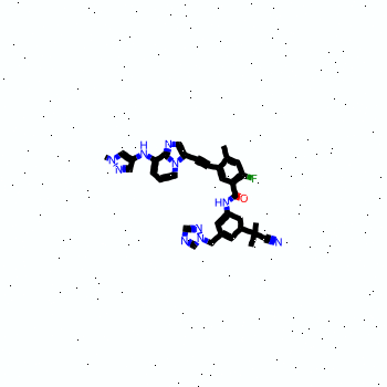 Cc1cc(F)c(C(=O)NC2=CC(Cn3cncn3)=CC(C(C)(C)C#N)C2)cc1C#Cc1cnc2c(Nc3cnn(C)c3)cccn12